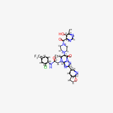 CCc1c(N2CCN(C(=O)c3ncnc(C)c3O)CC2)c(=O)n2nc(-c3cnc4c(c3)CCO4)nc2n1CC(=O)Nc1ccc(C(F)(F)F)cc1Cl